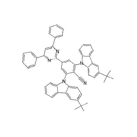 CC(C)(C)c1ccc2c(c1)c1ccccc1n2-c1cc(-c2nc(-c3ccccc3)cc(-c3ccccc3)n2)cc(-n2c3ccccc3c3cc(C(C)(C)C)ccc32)c1C#N